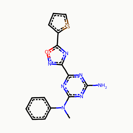 CN(c1ccccc1)c1nc(N)nc(-c2noc(-c3cccs3)n2)n1